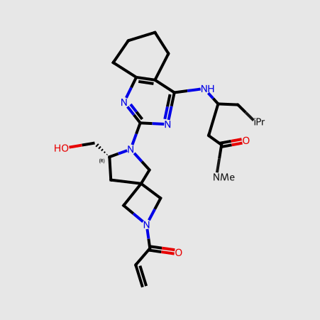 C=CC(=O)N1CC2(C[C@H](CO)N(c3nc4c(c(NC(CC(=O)NC)CC(C)C)n3)CCCC4)C2)C1